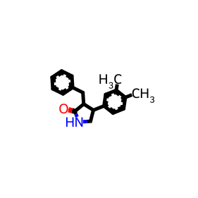 Cc1ccc(C2CNC(=O)C2Cc2ccccc2)cc1C